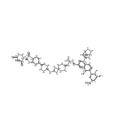 Cc1c(F)cc(N)cc1-c1ncc2c(N3CC4CCC(C3)N4)nc(OCC3(CN4CCC5(CC4)CC(CN4CCN(c6ccc7c(c6)CN([C@H]6CCC(=O)NC6=O)C7=O)CC4)C5)CC3)nc2c1F